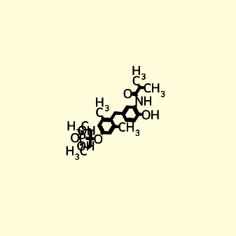 CCC(CC)(Oc1cc(C)c(Cc2ccc(O)c(NC(=O)C(C)C)c2)c(C)c1)P(=O)(O)O